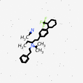 CC#N.CCC(CCc1ccc(C2CCCCC2C(F)(F)F)cc1)N(CCc1ccccc1)C(C)C